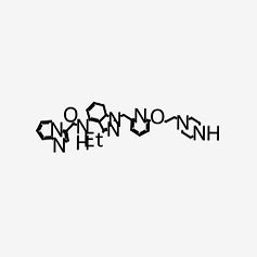 CCC1=NN(Cc2cccc(OCCN3CCNCC3)n2)C2CC=CC(NC(=O)c3cnc4ccccn34)=C12